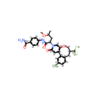 COC(C)CC(C(=O)Nc1ccc(C(N)=O)cc1)n1cc2c(cc1=O)-c1cc(Cl)ccc1CC(C(F)F)CO2